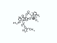 CCC(C)OCC(=O)OCOc1c(OC)ccnc1C(=O)N[C@H]1COC(=O)[C@H](Cc2ccccc2)[C@@H](OC(=O)C(C)C)[C@H](C)OC1=O